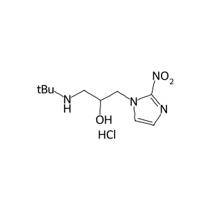 CC(C)(C)NCC(O)Cn1ccnc1[N+](=O)[O-].Cl